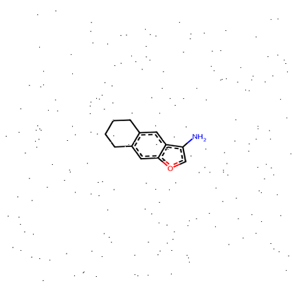 Nc1coc2cc3c(cc12)CCCC3